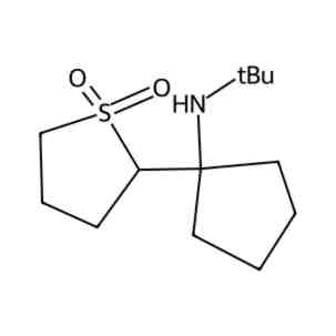 CC(C)(C)NC1(C2CCCS2(=O)=O)CCCC1